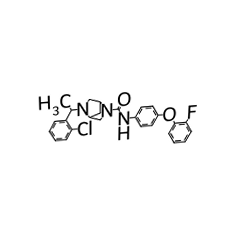 CC(c1ccccc1Cl)N1CC2CC1CN2C(=O)Nc1ccc(Oc2ccccc2F)cc1